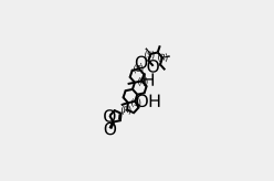 CC1OC(O[C@H]2CCC3(C)C4CCC5(C)[C@@H](C6=CC(=O)OC6)CC[C@]5(O)C4CC[C@@H]3C2)[C@@H](C)C(C)[C@H]1C